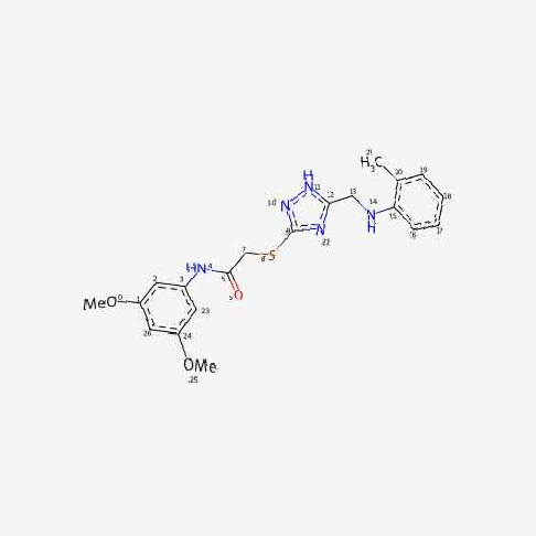 COc1cc(NC(=O)CSc2n[nH]c(CNc3ccccc3C)n2)cc(OC)c1